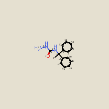 CC(NC(=O)NN)(c1ccccc1)c1ccccc1